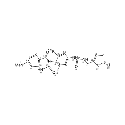 CNc1ccc2c(=O)n(-c3c(F)cc(NC(=O)NCc4ccc(Cl)s4)cc3F)c(=O)[nH]c2c1